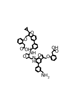 NCc1cccc(-c2cc(NCC3COCC3NCc3cccc(-c4ccc5oc(C6CC6)c(COc6ccccc6CC(=O)O)c5c4)c3)c3occ(COc4ccccc4CC(=O)O)c3c2)c1